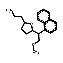 COCC(c1cccc2ccccc12)C1CCC(CCN)O1